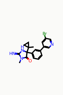 CN1C(=N)NC(c2cccc(-c3cncc(Br)c3)c2)(C2(C)CC2)C1=O